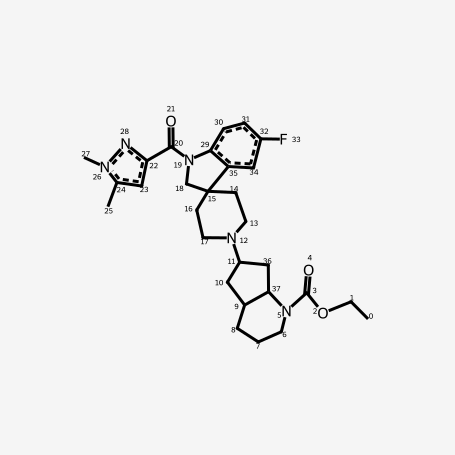 CCOC(=O)N1CCCC2CC(N3CCC4(CC3)CN(C(=O)c3cc(C)n(C)n3)c3ccc(F)cc34)CC21